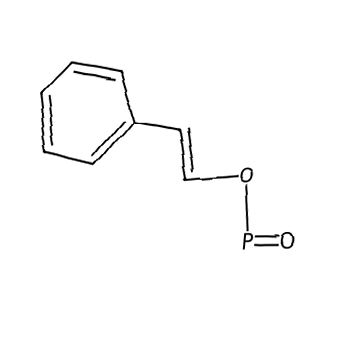 O=POC=Cc1ccccc1